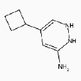 NC1=CC(C2CCC2)=CNN1